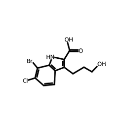 O=C(O)c1[nH]c2c(Br)c(Cl)ccc2c1CCCO